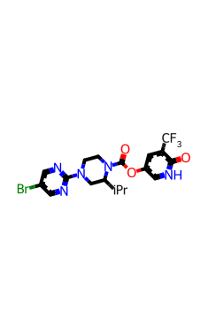 CC(C)C1CN(c2ncc(Br)cn2)CCN1C(=O)Oc1c[nH]c(=O)c(C(F)(F)F)c1